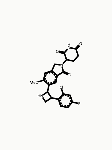 COc1cc2c(cc1C1NCC1c1ccc(F)cc1Cl)C(=O)N(C1CCC(=O)NC1=O)C2